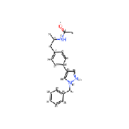 CC(=O)NC(C)Cc1ccc(-c2cnn(Cc3ccccc3)c2)cc1